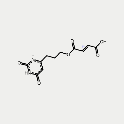 O=C(O)/C=C/C(=O)OCCCc1cc(=O)[nH]c(=O)[nH]1